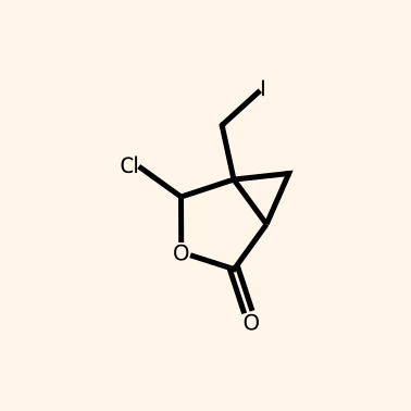 O=C1OC(Cl)C2(CI)CC12